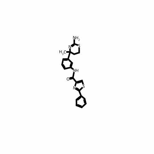 CC1(c2cccc(NC(=O)c3csc(-c4ccccc4)n3)c2)CCSC(N)=N1